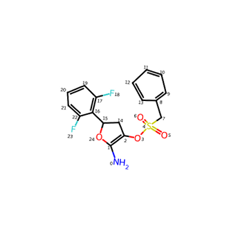 NC1=C(OS(=O)(=O)Cc2ccccc2)CC(c2c(F)cccc2F)O1